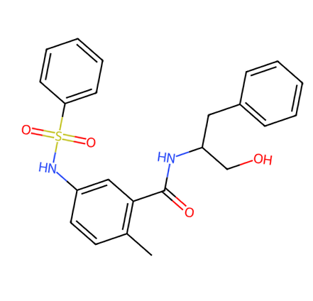 Cc1ccc(NS(=O)(=O)c2ccccc2)cc1C(=O)NC(CO)Cc1ccccc1